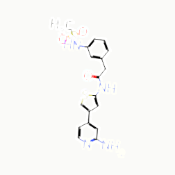 CS(=O)(=O)Nc1cccc(CC(=O)Nc2cc(-c3ccnc(N)c3)cs2)c1